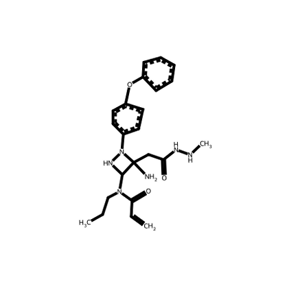 C=CC(=O)N(CCC)C1NN(c2ccc(Oc3ccccc3)cc2)C1(N)CC(=O)NNC